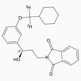 [2H]C([2H])(Oc1cccc([C@H](O)CCN2C(=O)c3ccccc3C2=O)c1)C1CCCCC1